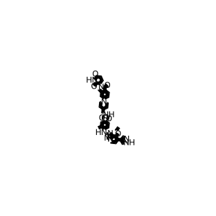 CCOc1c(-c2cn[nH]c2)ccn2nc(Nc3ccc(S(=O)(=O)NCC4CCN(c5ccc6c(c5)CN(C5CCC(=O)NC5=O)C6=O)CC4)cc3C)nc12